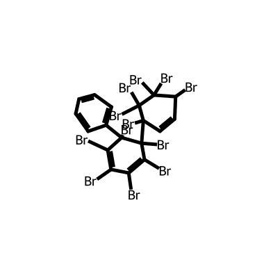 BrC1=C(Br)C(Br)(c2ccccc2)C(Br)(C2(Br)C=CC(Br)C(Br)(Br)C2(Br)Br)C(Br)=C1Br